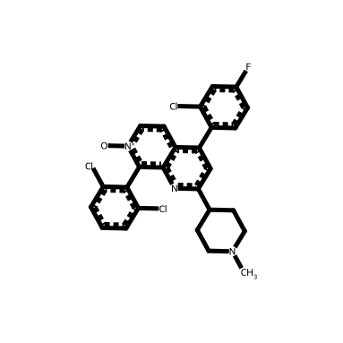 CN1CCC(c2cc(-c3ccc(F)cc3Cl)c3cc[n+]([O-])c(-c4c(Cl)cccc4Cl)c3n2)CC1